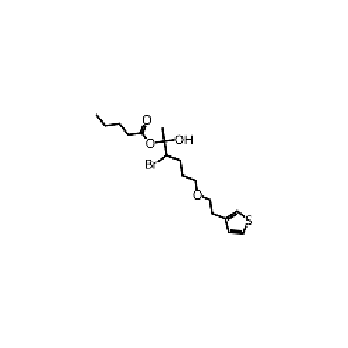 CCCCC(=O)OC(C)(O)C(Br)CCCOCCc1ccsc1